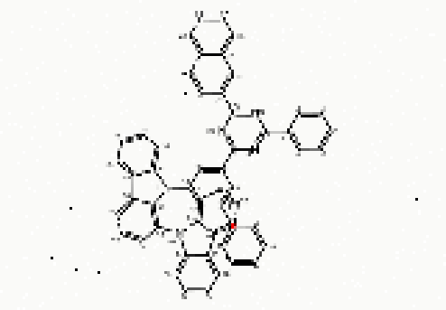 c1ccc(-c2cc(-c3nc(-c4ccccc4)nc(-c4ccc5ccccc5c4)n3)cc(-n3c4ccccc4c4cccc(-n5c6ccccc6c6ccccc65)c43)c2)cc1